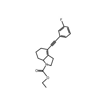 CCOC(=O)N1CCC2=C(C#Cc3cccc(F)c3)CCCC21